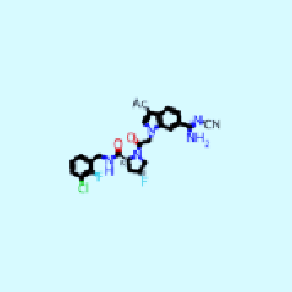 CC(=O)c1cn(CC(=O)N2C[C@H](F)C[C@H]2C(=O)NCc2cccc(Cl)c2F)c2cc(/C(N)=N/C#N)ccc12